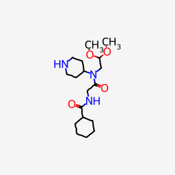 COC(CN(C(=O)CNC(=O)C1CCCCC1)C1CCNCC1)OC